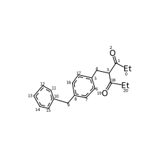 CCC(=O)C(Cc1ccc(Cc2ccccc2)cc1)C(=O)CC